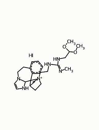 CN=C(NCC[N+]12CCC(CC1)C21c2ccccc2CCN2C=CNC21)NCC(OC)OC.I